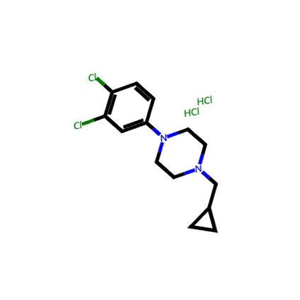 Cl.Cl.Clc1ccc(N2CCN(CC3CC3)CC2)cc1Cl